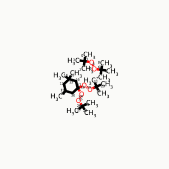 CC(C)(C)OOC(C)(C)C.CC1CC(C)(C)CC(OOC(C)(C)C)(OOC(C)(C)C)C1